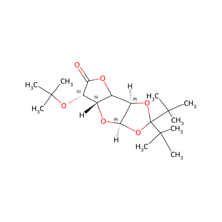 CC(C)(C)O[C@@H]1C(=O)OC2[C@H]3OC(C(C)(C)C)(C(C)(C)C)O[C@H]3O[C@@H]21